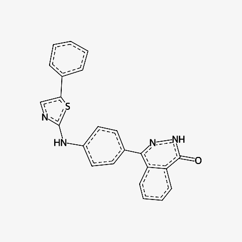 O=c1[nH]nc(-c2ccc(Nc3ncc(-c4ccccc4)s3)cc2)c2ccccc12